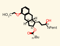 CCCCC[C@H](O)CC[C@@H]1[C@H]2Cc3cccc(OCC(=O)O)c3C[C@H]2C[C@H]1OC(=O)[C@@H](C)CC